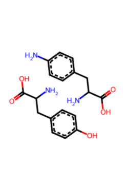 NC(Cc1ccc(O)cc1)C(=O)O.Nc1ccc(CC(N)C(=O)O)cc1